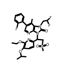 CCOc1nc(C(CS(C)(=O)=O)n2c(=O)n(CC(F)F)c3c(C)c(-c4ccccc4F)cnc32)ccc1OC(C)C